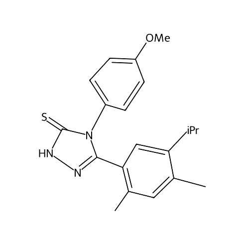 COc1ccc(-n2c(-c3cc(C(C)C)c(C)cc3C)n[nH]c2=S)cc1